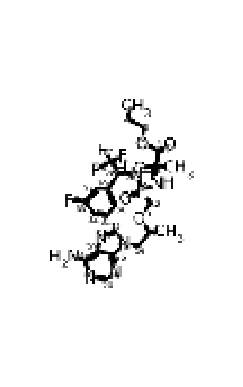 CCCOC(=O)C(C)(C)NP(=O)(COC(C)Cn1cnc2c(N)ncnc21)NC(c1cccc(F)c1)C(F)(F)F